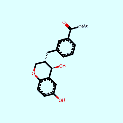 COC(=O)c1cccc(C[C@H]2COc3ccc(O)cc3[C@@H]2O)c1